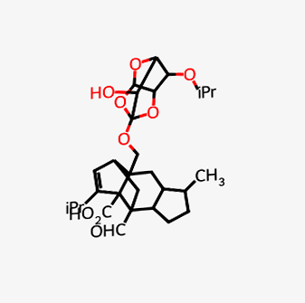 CC(C)OC1C2OC3(OCC45CC6C(C)CCC6C6(C=O)CC4C=C(C(C)C)C65C(=O)O)OC2OC1C3O